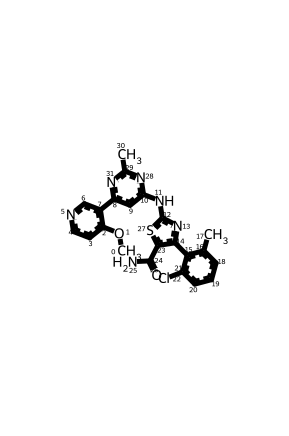 COc1ccncc1-c1cc(Nc2nc(-c3c(C)cccc3Cl)c(C(N)=O)s2)nc(C)n1